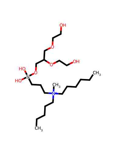 CCCCCC[N+](C)(CCCCC)CCC[Si](O)(O)OCC(COCCO)OCCO